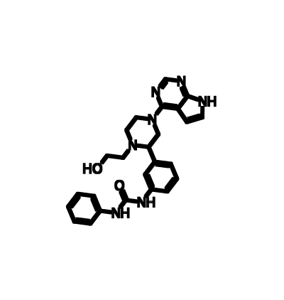 O=C(Nc1ccccc1)Nc1cccc(C2CN(c3ncnc4[nH]ccc34)CCN2CCO)c1